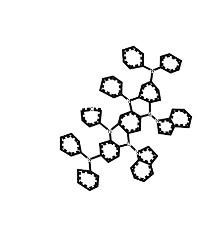 c1ccc(N(c2ccccc2)c2ccc3c(c2)N(c2ccccc2)c2cc4c(cc2B3n2ccc3ccccc32)B(n2ccc3ccccc32)c2ccc(N(c3ccccc3)c3ccccc3)cc2N4c2ccccc2)cc1